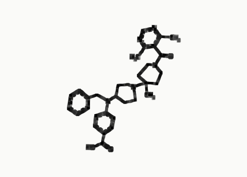 Cc1ncnc(C)c1C(=O)N1CCC(C)(N2CCC(N(Cc3ccccc3)c3ccc(C(=O)O)cc3)CC2)CC1